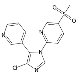 CS(=O)(=O)c1ccc(-n2cnc(Cl)c2-c2cccnc2)nc1